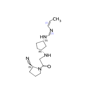 C/C=C\N=C/N[C@H]1CC[C@@H](NCC(=O)N2CCC[C@H]2C#N)C1